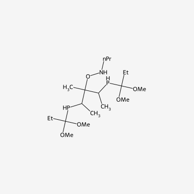 CCCNOC(C)(C(C)PC(CC)(OC)OC)C(C)PC(CC)(OC)OC